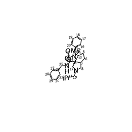 COC(=O)N1CC2CC3CN(CC(C)C)C(C2Cc2ccccc2)C31C(=O)NCc1ccccc1